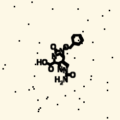 NC(=O)n1cc2c(n1)C(C(=O)O)N1CC2N(OCc2ccccc2)C1=O